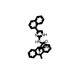 CC12CC(N)(C(=O)Nc3nc(-c4cccc5ccccc45)c[nH]3)C(c3ccccc31)c1ccccc12